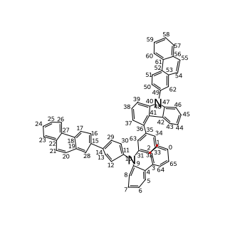 c1ccc(-c2ccccc2N(c2ccc(-c3ccc4c(ccc5ccccc54)c3)cc2)c2cccc(-c3cccc4c3c3ccccc3n4-c3ccc4c(ccc5ccccc54)c3)c2)cc1